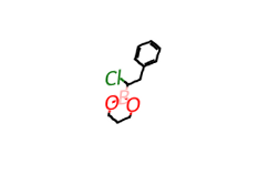 ClC(Cc1ccccc1)B1OCCCO1